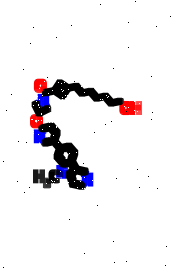 Cn1c2ccncc2c2ccc(-c3ccc(OC4CN(C(=O)C56CC(CCCCCCCO)(C5)C6)C4)nc3)cc21